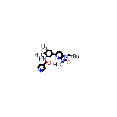 Cn1c(=O)n(CC(C)(C)C)c2ccc(C3CCC(C)(C)C(NC(=O)c4ccncc4)C3)nc21